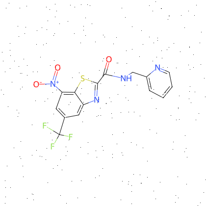 O=C(NCc1ccccn1)c1nc2cc(C(F)(F)F)cc([N+](=O)[O-])c2s1